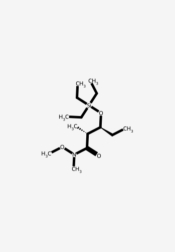 CC[C@H](O[Si](CC)(CC)CC)[C@@H](C)C(=O)N(C)OC